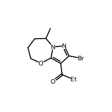 CCC(=O)c1c(Br)nn2c1OCCCC2C